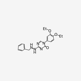 CCOc1ccc(-n2cnc(NNCc3ccccc3)nc2=O)cc1OCC